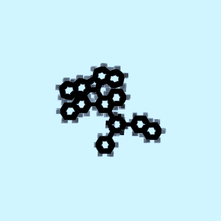 c1ccc(-c2nc(-c3ccc4ccccc4c3)nc(-c3cc(-c4ccc5ccccc5c4)c(-n4c5cc6ccccc6cc5c5ccc6ccccc6c54)c4ccccc34)n2)cc1